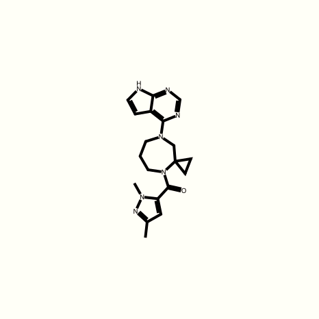 Cc1cc(C(=O)N2CCCN(c3ncnc4[nH]ccc34)CC23CC3)n(C)n1